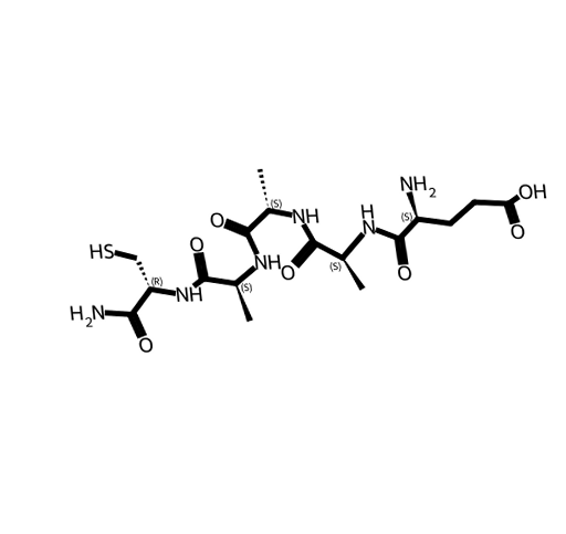 C[C@H](NC(=O)[C@H](C)NC(=O)[C@@H](N)CCC(=O)O)C(=O)N[C@@H](C)C(=O)N[C@@H](CS)C(N)=O